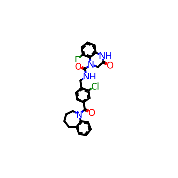 O=C1CN(C(=O)NCc2ccc(C(=O)N3CCCCc4ccccc43)cc2Cl)c2c(F)cccc2N1